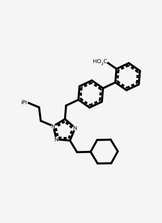 CC(C)CCn1nc(CC2CCCCC2)nc1Cc1ccc(-c2ccccc2C(=O)O)cc1